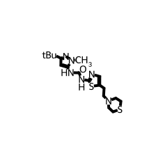 Cn1nc(C(C)(C)C)cc1NC(=O)Nc1ncc(CCN2CCSCC2)s1